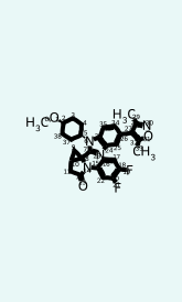 CO[C@H]1CC[C@H](n2c(C34CC3CC(=O)N4c3ccc(F)c(F)c3)nc3cc(-c4c(C)noc4C)ccc32)CC1